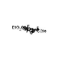 CCOC(=O)N1CCN(c2c(F)cc(N3CC(CNC(=S)OC)OC3=O)cc2F)CC1